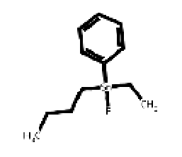 CCC[CH2][Sn]([F])([CH2]C)[c]1ccccc1